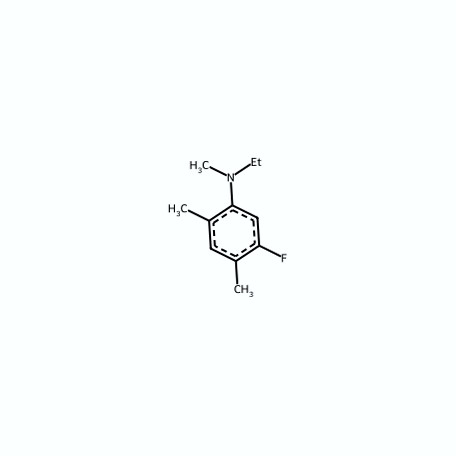 CCN(C)c1cc(F)c(C)cc1C